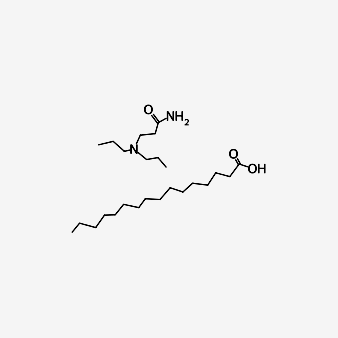 CCCCCCCCCCCCCCCC(=O)O.CCCN(CCC)CCC(N)=O